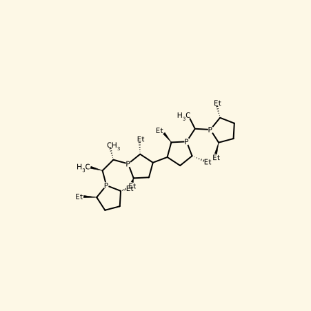 CC[C@@H]1CC[C@@H](CC)P1C(C)P1[C@H](CC)CC(C2C[C@@H](CC)P([C@@H](C)[C@H](C)P3[C@H](CC)CC[C@H]3CC)[C@@H]2CC)[C@H]1CC